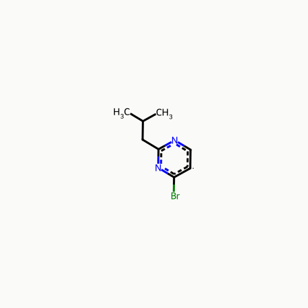 CC(C)Cc1nc[c]c(Br)n1